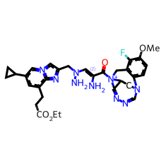 CCOC(=O)CCc1cc(C2CC2)cn2cc(CN(N)/C=C(\N)C(=O)[N+]34Cc5c(ccc(OC)c5F)N5C=NN=C3C4C5)nc12